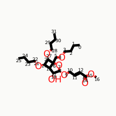 CCCCOCC12O[C@@H](OC/C=C/C(=O)OC)[C@H](O)C1[C@@H](OCCCC)[C@@H]2OCCCC